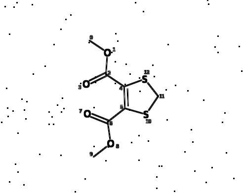 COC(=O)C1=C(C(=O)OC)SCS1